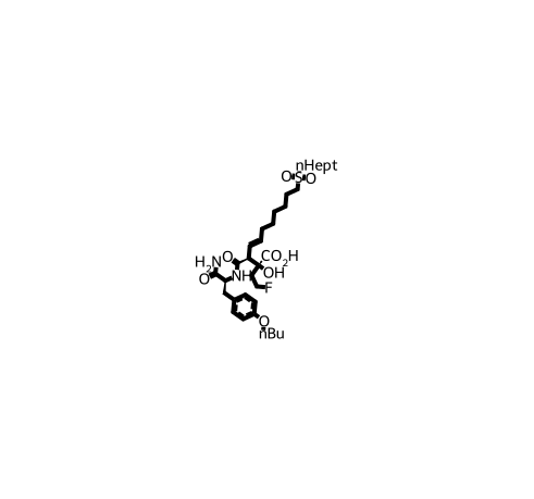 CCCCCCCS(=O)(=O)CCCCCC/C=C/[C@H](C(=O)N[C@@H](Cc1ccc(OCCCC)cc1)C(N)=O)[C@@](O)(CCF)C(=O)O